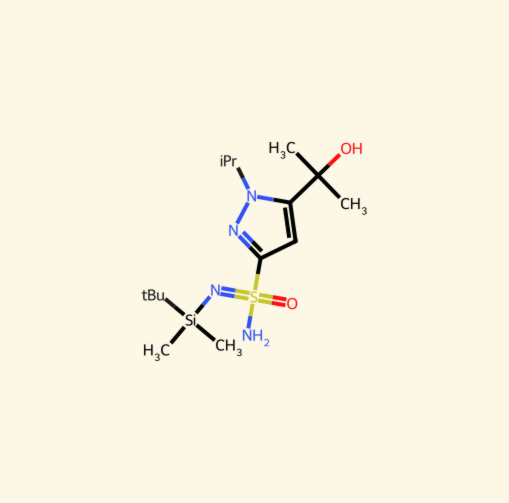 CC(C)n1nc(S(N)(=O)=N[Si](C)(C)C(C)(C)C)cc1C(C)(C)O